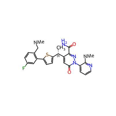 CNCc1ccc(F)cc1-c1ccc([C@H](C)c2cc(=O)n(-c3cccnc3NC)nc2C(N)=O)s1